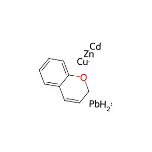 C1=Cc2ccccc2OC1.[Cd].[Cu].[PbH2].[Zn]